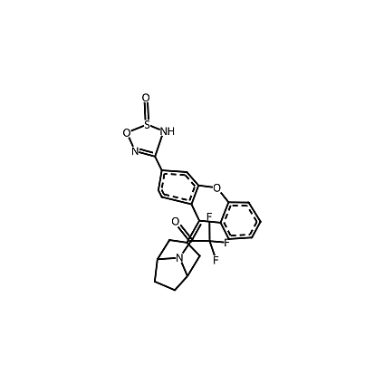 O=C(N1C2CCC1CC(=C1c3ccccc3Oc3cc(C4=NOS(=O)N4)ccc31)C2)C(F)(F)F